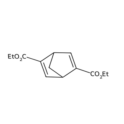 CCOC(=O)C1=CC2CC1C=C2C(=O)OCC